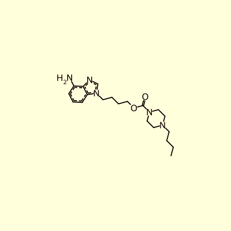 CCCCN1CCN(C(=O)OCCCCn2cnc3c(N)cccc32)CC1